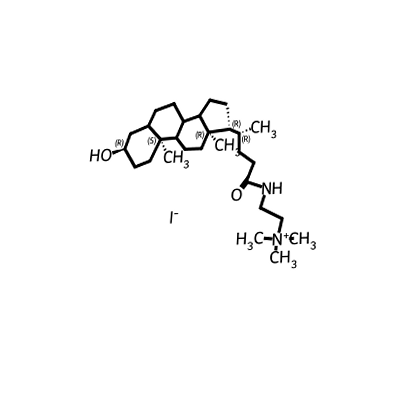 C[C@H](CCC(=O)NCC[N+](C)(C)C)[C@H]1CCC2C3CCC4C[C@H](O)CC[C@]4(C)C3CC[C@@]21C.[I-]